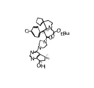 C[C@@H]1C[C@@H](O)c2ncnc(N3CCN(C(=O)[C@@H](c4ccc(Cl)cc4)[C@H]4N(C(=O)OC(C)(C)C)CCC45CCCC5)CC3)c21